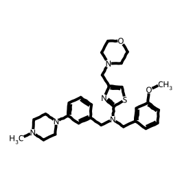 COc1cccc(CN(Cc2cccc(N3CCN(C)CC3)c2)c2nc(CN3CCOCC3)cs2)c1